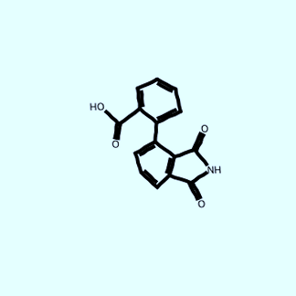 O=C(O)c1ccccc1-c1cccc2c1C(=O)NC2=O